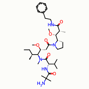 CC[C@H](C)[C@@H]([C@@H](CC(=O)N1CCC[C@H]1[C@H](OC)[C@@H](C)C(=O)NCCc1ccccc1)OC)N(C)C(=O)[C@@H](NC(=O)C(C)(C)N)C(C)C